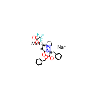 CO[C@@H]([C@@H]1CCCN1)[C@@H](C)C(=O)N[C@@H](Cc1ccccc1)C(=O)OCc1ccccc1.O=C([O-])C(F)(F)F.[Na+]